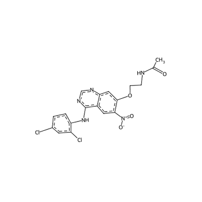 CC(=O)NCCOc1cc2ncnc(Nc3ccc(Cl)cc3Cl)c2cc1[N+](=O)[O-]